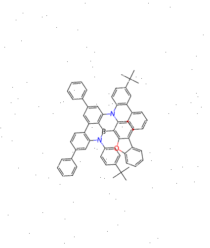 CC(C)(C)c1ccc(N2B3c4c(cc(-c5ccccc5)cc4N(c4ccc(C(C)(C)C)cc4-c4ccccc4)c4ccc5c(oc6ccccc65)c43)-c3ccc(-c4ccccc4)cc32)cc1